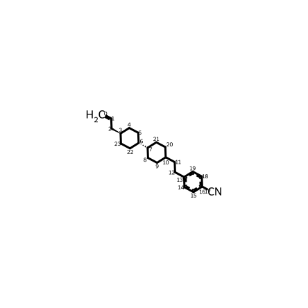 C=CC[C@H]1CC[C@H](C2CCC(CCc3ccc(C#N)cc3)CC2)CC1